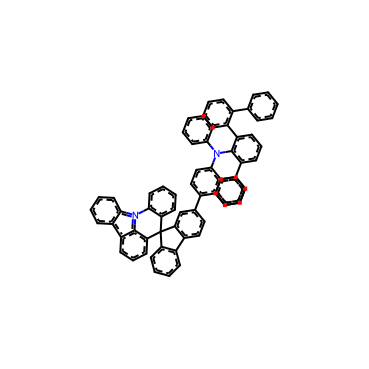 c1ccc(-c2ccccc2-c2cccc(-c3ccccc3)c2N(c2ccccc2)c2ccc(-c3ccc4c(c3)C3(c5ccccc5-4)c4ccccc4-n4c5ccccc5c5cccc3c54)c3ccccc23)cc1